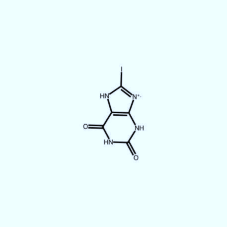 O=c1[nH]c2c(c(=O)[nH]1)NC(I)=[N+]2